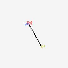 O=C(CCCCCCCCCCCCCCCCCCCS)NO